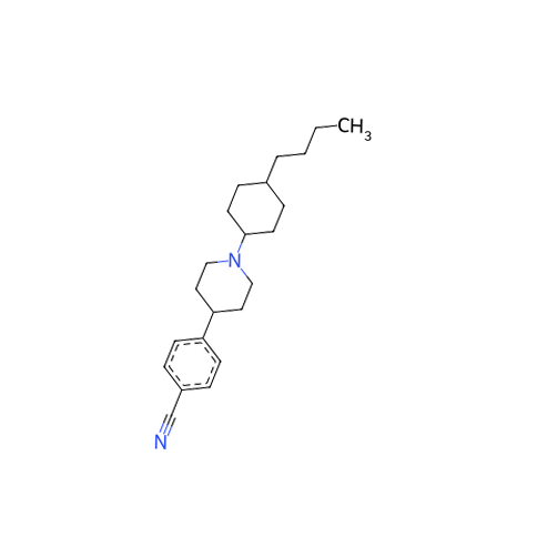 CCCCC1CCC(N2CCC(c3ccc(C#N)cc3)CC2)CC1